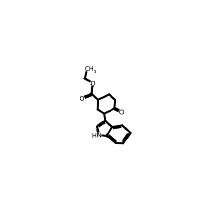 CCOC(=O)C1CCC(=O)C(c2c[nH]c3ccccc23)C1